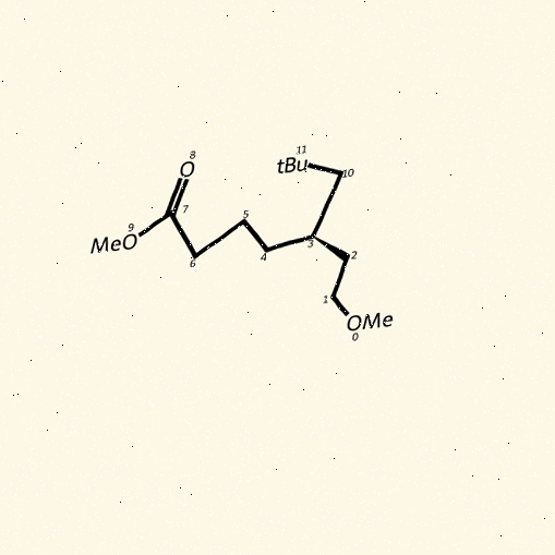 COCC[C@@H](CCCC(=O)OC)CC(C)(C)C